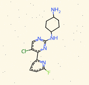 NC1CCC(Nc2ncc(Cl)c(-c3cccc(F)n3)n2)CC1